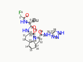 CC[C@H](C)[C@H](NC(=O)CF)C(=O)N[C@H]1CCc2cccc3c2N(C1=O)[C@H](C(=O)NCc1c[nH]nn1)C3